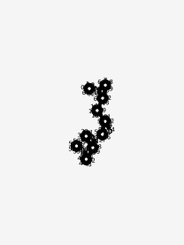 c1ccc(-n2c3ccccc3c3ccc(-c4cccc(-c5ccc6sc7ccc(-n8c9ccccc9c9c8ccc8c%10ccccc%10n(-c%10ccccc%10)c89)cc7c6c5)c4)cc32)cc1